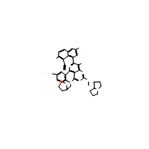 C#Cc1c(F)ccc2cc(O)cc(-c3nc(-c4cncc(OC)c4)c4c(N5C[C@H]6CC[C@@H](C5)N6)nc(OC[C@@]56CCCN5C[C@H](F)C6)nc4c3F)c12